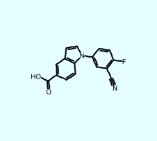 N#Cc1cc(-n2ccc3cc(C(=O)O)ccc32)ccc1F